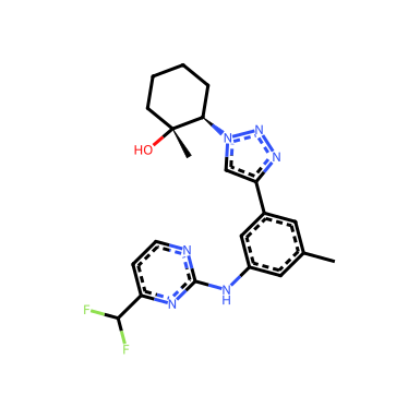 Cc1cc(Nc2nccc(C(F)F)n2)cc(-c2cn([C@@H]3CCCC[C@@]3(C)O)nn2)c1